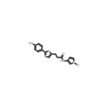 CCn1ccc(NC(=O)CCc2cnc(-c3ccc(O)cc3)s2)c1